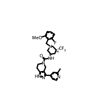 COc1cccc(F)c1CN1C[C@@H](NC(=O)N2CCc3[nH]nc(-c4ccnc(C)c4)c3C2)C[C@@H](C(F)(F)F)C1